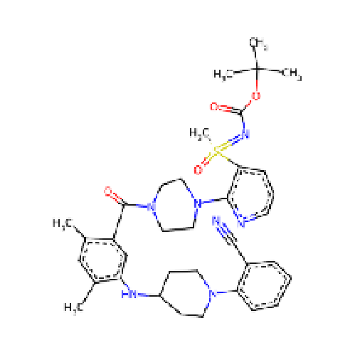 Cc1cc(C)c(C(=O)N2CCN(c3ncccc3[S@@](C)(=O)=NC(=O)OC(C)(C)C)CC2)cc1NC1CCN(c2ccccc2C#N)CC1